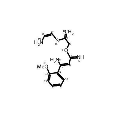 C=C(COC(=N)/C=C(\N)c1ccccc1OC)S/C=C\N